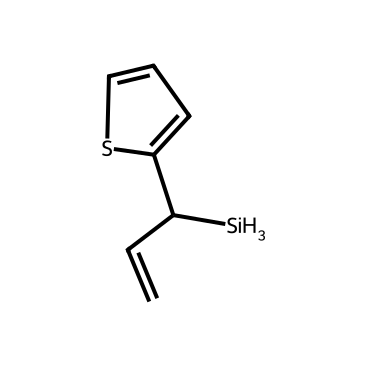 C=CC([SiH3])c1cccs1